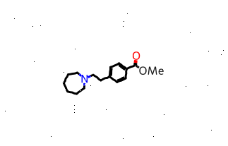 COC(=O)c1ccc(CCN2CCCCCC2)cc1